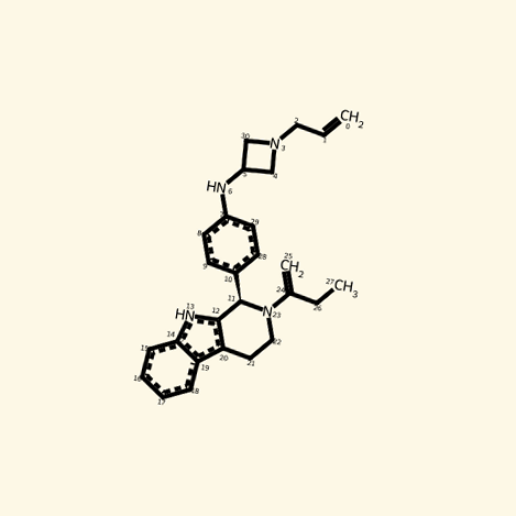 C=CCN1CC(Nc2ccc([C@@H]3c4[nH]c5ccccc5c4CCN3C(=C)CC)cc2)C1